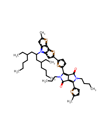 CCCCC(CC)CC(CC(CC)CCCC)n1c2cc(C)sc2c2sc(-c3ccc(C4=C5C(=O)N(CCCC)C(c6ccc(C)s6)=C5C(=O)N4CCC)s3)cc21